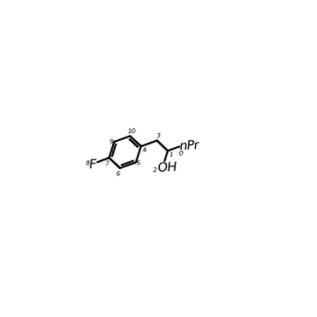 CCCC(O)Cc1ccc(F)cc1